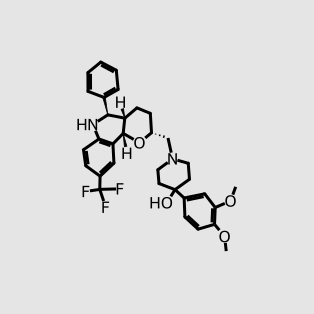 COc1ccc(C2(O)CCN(C[C@H]3CC[C@@H]4[C@H](O3)c3cc(C(F)(F)F)ccc3N[C@H]4c3ccccc3)CC2)cc1OC